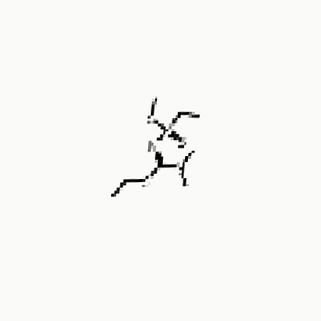 CCSC(=NP(=S)(CC)SC)N(C)C